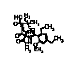 CCc1cc(CC)c(C(=O)NC2(C(C)=O)C(=O)N3[C@@H](C(=O)O)C(C)(C)S[C@@H]32)c(OC)c1